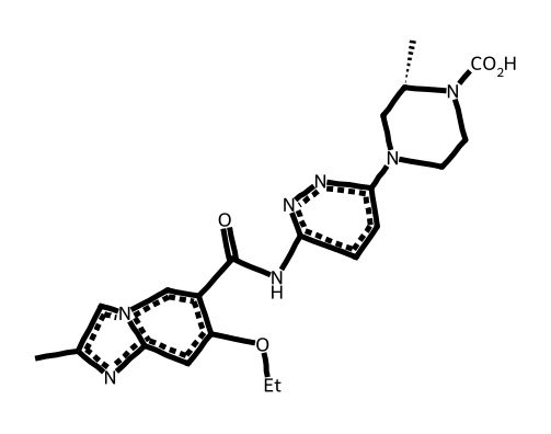 CCOc1cc2nc(C)cn2cc1C(=O)Nc1ccc(N2CCN(C(=O)O)[C@@H](C)C2)nn1